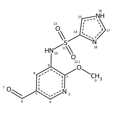 COc1ncc(C=O)cc1NS(=O)(=O)c1c[nH]cn1